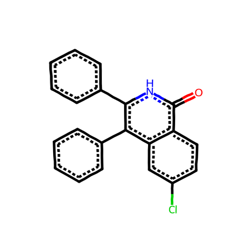 O=c1[nH]c(-c2ccccc2)c(-c2ccccc2)c2cc(Cl)ccc12